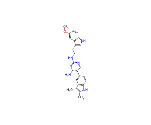 Cc1[nH]c2ccc(-c3cnc(NCCc4c[nH]c5ccc(OC(F)(F)F)cc45)nc3N)cc2c1C